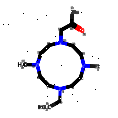 CCN1CCN(CC(=O)O)CCN(C)CCN(CC(=O)C(C)(C)C)CC1